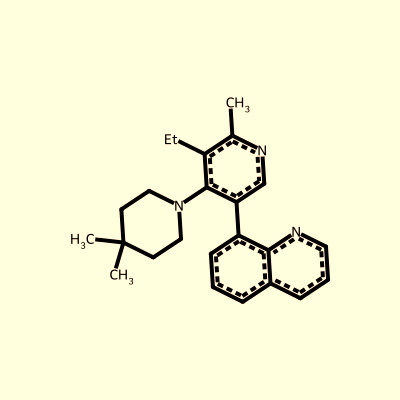 CCc1c(C)ncc(-c2cccc3cccnc23)c1N1CCC(C)(C)CC1